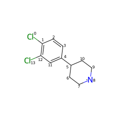 Clc1ccc(C2CC[N]CC2)cc1Cl